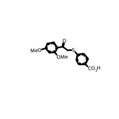 COc1ccc(C(=O)CSc2ccc(C(=O)O)cc2)c(OC)c1